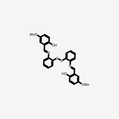 COc1ccc(O)c(/C=N/c2ccccc2SSc2ccccc2/N=C/c2cc(OC)ccc2O)c1